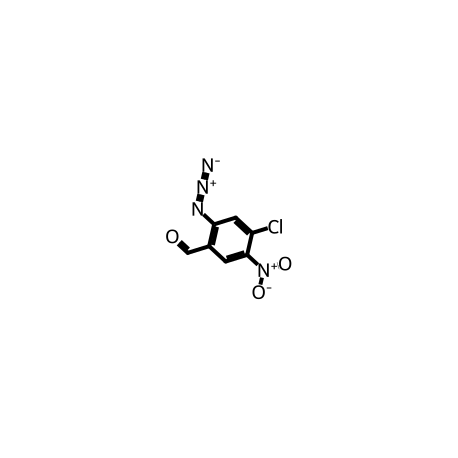 [N-]=[N+]=Nc1cc(Cl)c([N+](=O)[O-])cc1C=O